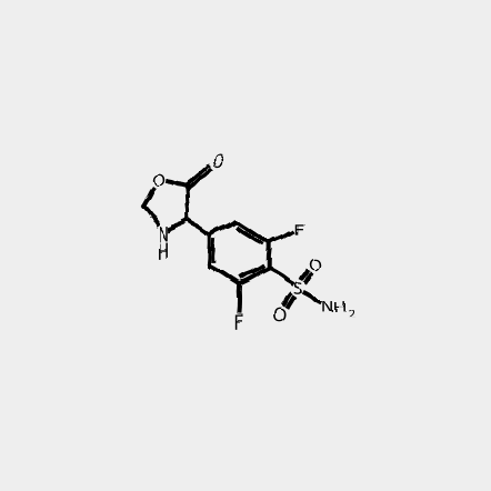 NS(=O)(=O)c1c(F)cc(C2NCOC2=O)cc1F